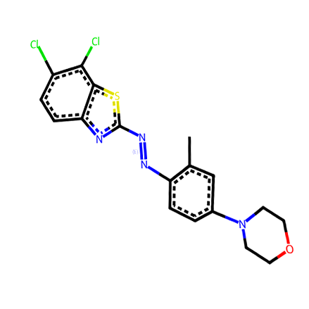 Cc1cc(N2CCOCC2)ccc1/N=N/c1nc2ccc(Cl)c(Cl)c2s1